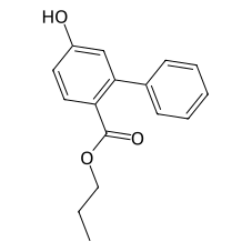 CCCOC(=O)c1ccc(O)cc1-c1ccccc1